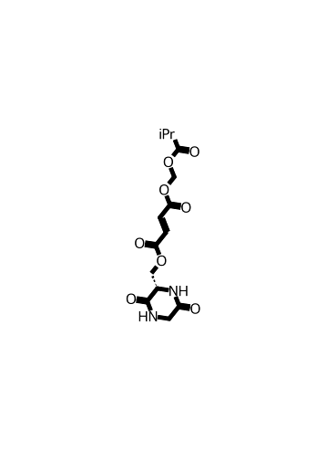 CC(C)C(=O)OCOC(=O)/C=C/C(=O)OC[C@@H]1NC(=O)CNC1=O